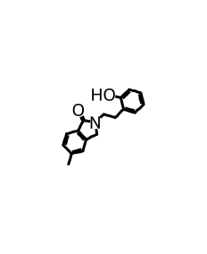 Cc1ccc2c(c1)CN(CCc1ccccc1O)C2=O